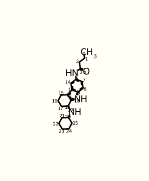 CCCC(=O)Nc1ccc2[nH]c3c(c2c1)CCCC3NC1CCCCC1